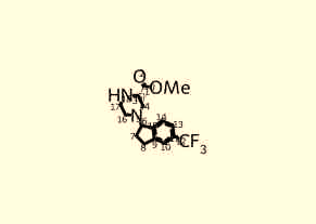 COC(=O)[C@@H]1CN(C2CCc3cc(C(F)(F)F)ccc32)CCN1